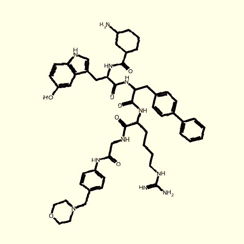 N=C(N)NCCCCC(NC(=O)C(Cc1ccc(-c2ccccc2)cc1)NC(=O)C(Cc1c[nH]c2ccc(O)cc12)NC(=O)C1CCCC(N)C1)C(=O)NCC(=O)Nc1ccc(CN2CCOCC2)cc1